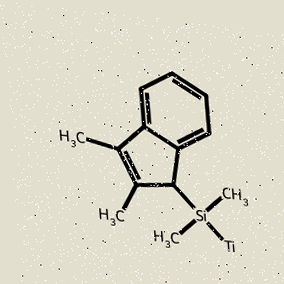 CC1=C(C)C([Si](C)(C)[Ti])c2ccccc21